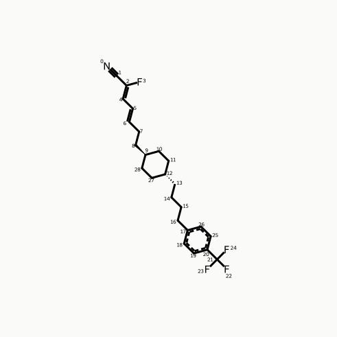 N#CC(F)=CC=CCC[C@H]1CC[C@H](CCCCc2ccc(C(F)(F)F)cc2)CC1